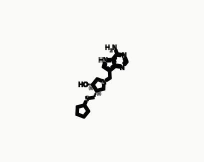 Nc1ncnc2c(CN3C[C@H](CSC4CCCC4)[C@H](O)C3)c[nH]c12